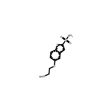 COCCOc1ccc2sc(S(N)(=O)=O)cc2c1